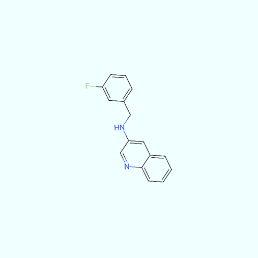 Fc1cccc(CNc2cnc3ccccc3c2)c1